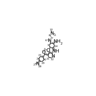 COc1cc(N(C)CCN(C)C)c(N)cc1Nc1cc(C(=O)c2ccc(N(C)C)cc2)ccn1